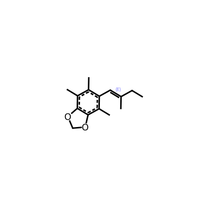 CC/C(C)=C/c1c(C)c(C)c2c(c1C)OCO2